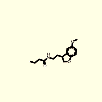 CCCC(=O)NCCC1COc2ccc(OC)cc21